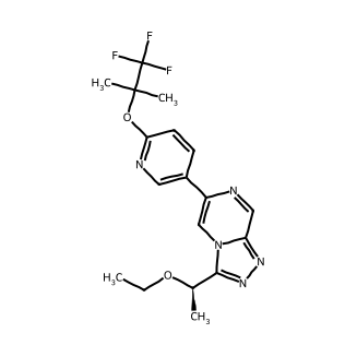 CCO[C@H](C)c1nnc2cnc(-c3ccc(OC(C)(C)C(F)(F)F)nc3)cn12